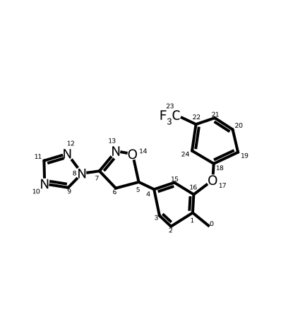 Cc1ccc(C2CC(n3cncn3)=NO2)cc1Oc1cccc(C(F)(F)F)c1